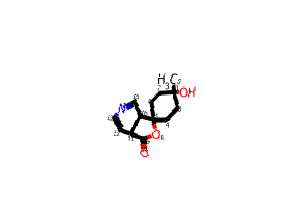 CC1(O)CCC2(CC1)OC(=O)C1C=CN=CC12